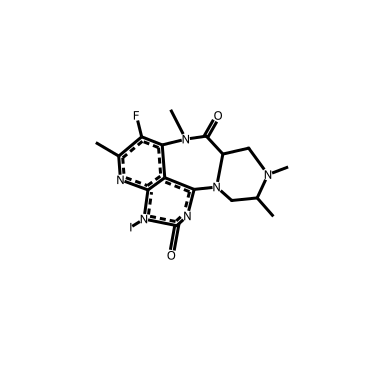 Cc1nc2c3c(nc(=O)n2I)N2CC(C)N(C)CC2C(=O)N(C)c3c1F